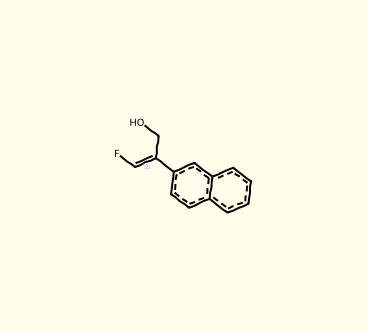 OC/C(=C\F)c1ccc2ccccc2c1